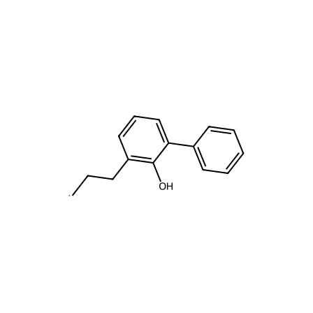 [CH2]CCc1cccc(-c2ccccc2)c1O